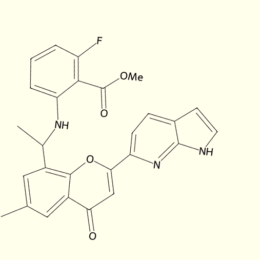 COC(=O)c1c(F)cccc1NC(C)c1cc(C)cc2c(=O)cc(-c3ccc4cc[nH]c4n3)oc12